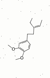 C/C=C(\CC)CCc1ccc(OC)c(OC)c1